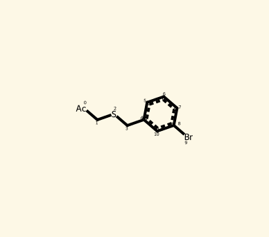 CC(=O)CSCc1cccc(Br)c1